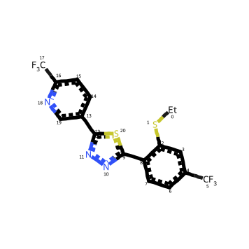 CCSc1cc(C(F)(F)F)ccc1-c1nnc(-c2ccc(C(F)(F)F)nc2)s1